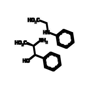 N[C@H](C(=O)O)C(O)c1ccccc1.O=C(O)CNc1ccccc1